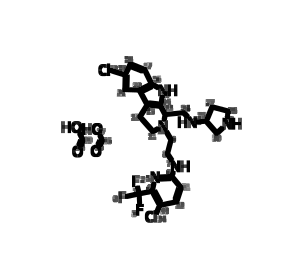 FC(F)(F)c1nc(NCCN2CCc3c([nH]c4ccc(Cl)cc34)C2CNC2CCNC2)ccc1Cl.O=CO.O=CO